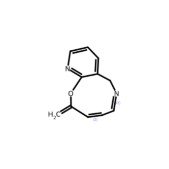 C=C1/C=C\C=N/Cc2cccnc2O1